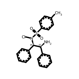 Cc1ccc(S(=O)(=O)N(Cl)[C@H](c2ccccc2)[C@@H](N)c2ccccc2)cc1